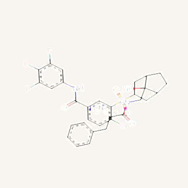 N[C@@H](Cc1ccccc1)C(=O)NCC1(O)C2CCC1CC(S(=O)(=O)c1cc(C(=O)Nc3cc(F)c(F)c(F)c3)ccc1Cl)C2